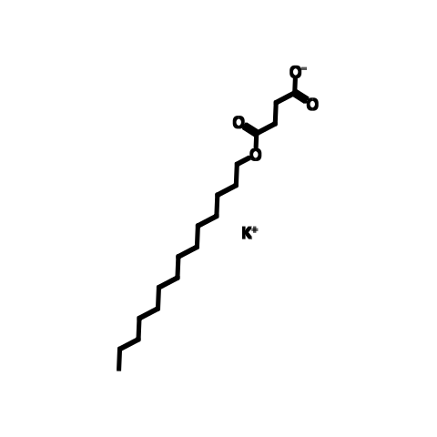 CCCCCCCCCCCCCCOC(=O)CCC(=O)[O-].[K+]